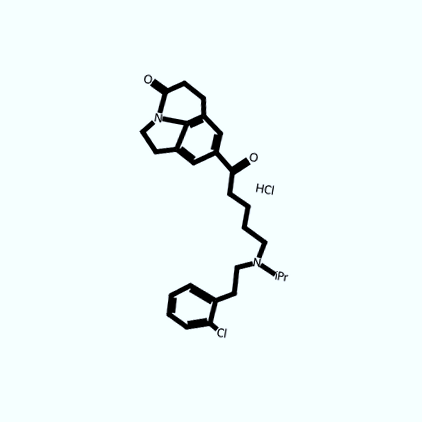 CC(C)N(CCCCC(=O)c1cc2c3c(c1)CCN3C(=O)CC2)CCc1ccccc1Cl.Cl